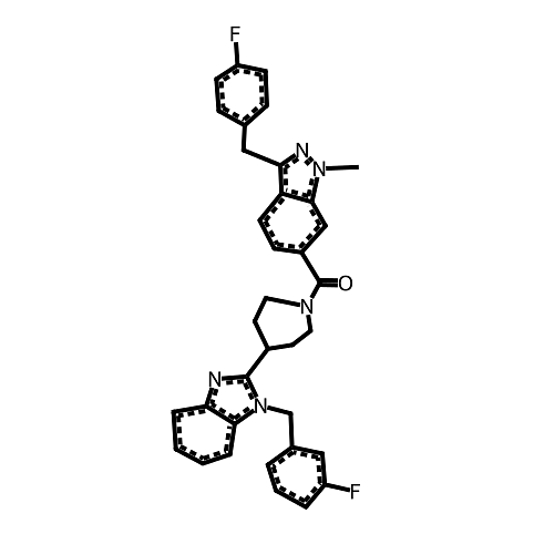 Cn1nc(Cc2ccc(F)cc2)c2ccc(C(=O)N3CCC(c4nc5ccccc5n4Cc4cccc(F)c4)CC3)cc21